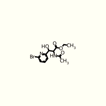 CCOC(=O)C(NC(C)=O)C(O)c1cccc(Br)n1